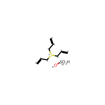 C=CC[S+](CC=C)CC=C.O=S(=O)([O-])O